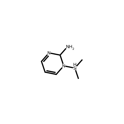 C[SiH](C)N1C=CC=NC1N